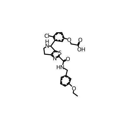 CCOc1cccc(CNC(=O)c2nc3c(s2)C(c2cc(OCC(=O)O)ccc2Cl)NCC3)c1